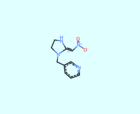 O=[N+]([O-])/C=C1\NCCN1Cc1cccnc1